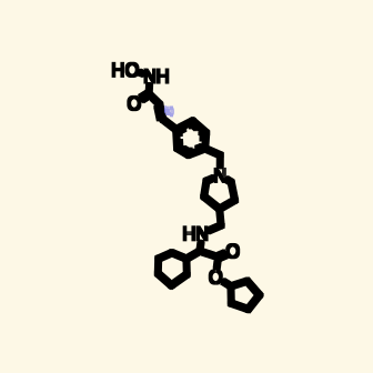 O=C(/C=C/c1ccc(CN2CCC(CNC(C(=O)OC3CCCC3)C3CCCCC3)CC2)cc1)NO